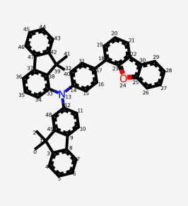 CC1(C)c2ccccc2-c2ccc(N(c3ccc(-c4cccc5c4oc4ccccc45)cc3)c3cccc4c3C(C)(C)c3ccccc3-4)cc21